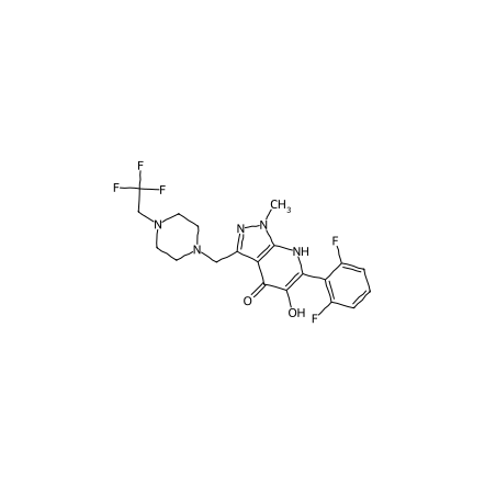 Cn1nc(CN2CCN(CC(F)(F)F)CC2)c2c(=O)c(O)c(-c3c(F)cccc3F)[nH]c21